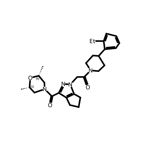 CCc1ccccc1C1CCN(C(=O)Cn2nc(C(=O)N3C[C@@H](C)O[C@@H](C)C3)c3c2CCC3)CC1